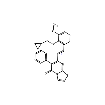 COc1cccc(/C=C/c2nc3sccn3c(=O)c2-c2ccccc2)c1OCC1CC1